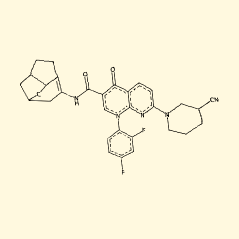 N#CC1CCCN(c2ccc3c(=O)c(C(=O)NC4=C5CCC6CC(C4)CC56)cn(-c4ccc(F)cc4F)c3n2)C1